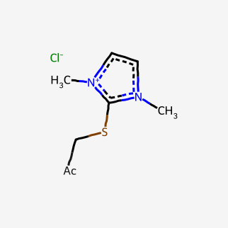 CC(=O)CSc1n(C)cc[n+]1C.[Cl-]